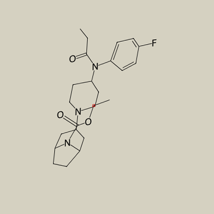 CCOC(=O)N1C2CCC1CC(N1CCC(N(C(=O)CC)c3ccc(F)cc3)CC1)C2